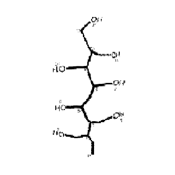 CC(O)C(O)C(O)C(O)C(O)C(O)CO